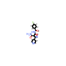 NC(=O)c1c(-c2ccncc2)noc1NC(=O)c1ccc(F)cc1